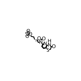 CS(=O)(=O)OCCC[C@H]1CN(c2ccc3c(n2)NC(=O)CS3)C(=O)O1